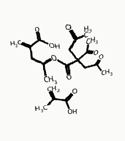 C=C(C)C(=O)O.C=C(CC(C)OC(=O)C(CC(C)=O)(CC(C)=O)C(C)=O)C(=O)O